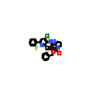 COc1nc(-c2ccccc2F)cc(Cl)c1NC(=O)C1CCCN1C(=O)OCc1ccccc1